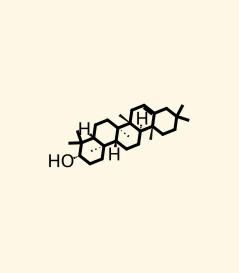 CC1(C)CC[C@@]2(C)C(=CC[C@]3(C)[C@@H]2CC[C@@H]2[C@@]4(C)CC[C@H](O)C(C)(C)[C@@H]4CC[C@]23C)C1